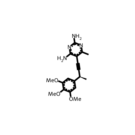 COc1cc([C@H](C)C#Cc2c(C)nc(N)nc2N)cc(OC)c1OC